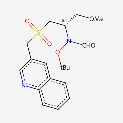 COC[C@@H](CS(=O)(=O)Cc1cnc2ccccc2c1)N(C=O)OC(C)(C)C